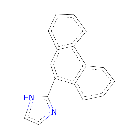 c1ccc2c(c1)cc(-c1ncc[nH]1)c1ccccc12